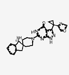 N[C@@H]1c2ccccc2CC12CCN(c1nc3[nH]nc(C4(c5cocn5)CC4)c3c(=O)[nH]1)CC2